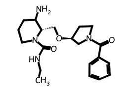 CCNC(=O)N1CCCC(N)[C@@H]1CO[C@H]1CCN(C(=O)c2ccccc2)C1